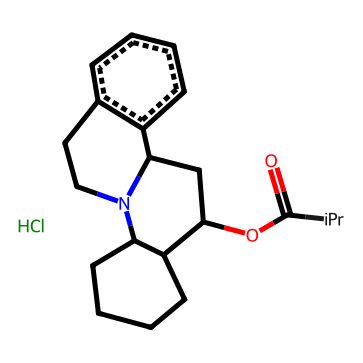 CC(C)C(=O)OC1CC2c3ccccc3CCN2C2CCCCC12.Cl